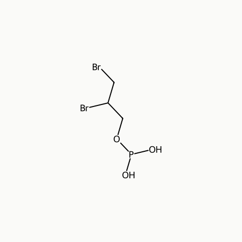 OP(O)OCC(Br)CBr